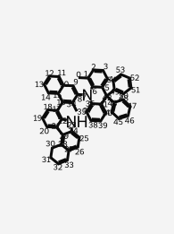 Cc1cccc2c1N(c1cc3ccccc3c(-c3cccc4c3[nH]c3ccc5c(c34)CCC=C5)c1C)c1ccccc1C2(c1ccccc1)c1ccccc1